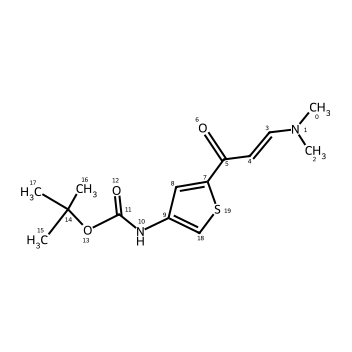 CN(C)C=CC(=O)c1cc(NC(=O)OC(C)(C)C)cs1